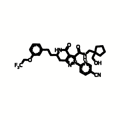 N#Cc1ccc(-n2nc3c(c2C(=O)NCC2(CO)CCCC2)C(=O)NC(CCc2cccc(OCC(F)(F)F)c2)C3)nc1